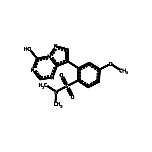 COc1ccc(S(=O)(=O)N(C)C)c(-c2cnn3c(O)ncnc23)c1